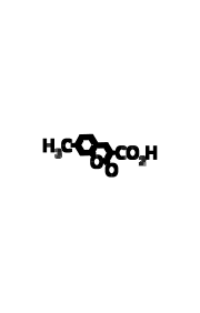 Cc1ccc2cc(C(=O)O)c(=O)oc2c1